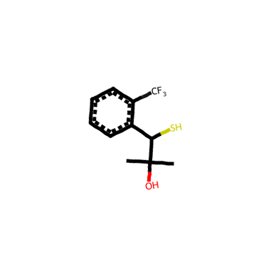 CC(C)(O)C(S)c1ccccc1C(F)(F)F